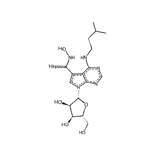 CC(C)CCNc1ncnc2c1c(C(=N)NO)cn2[C@@H]1O[C@H](CO)[C@@H](O)[C@H]1O